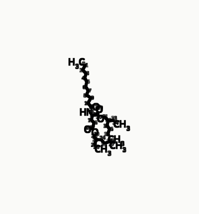 CCCCCCCCCCCC(=O)NC(CCC(=O)OCC(CC)CCCC)C(=O)OCC(CC)CCCC